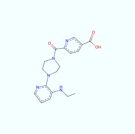 CCNc1cccnc1N1CCN(C(=O)c2ccc(C(=O)O)cn2)CC1